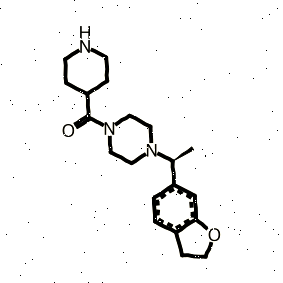 C[C@@H](c1ccc2c(c1)OCC2)N1CCN(C(=O)C2CCNCC2)CC1